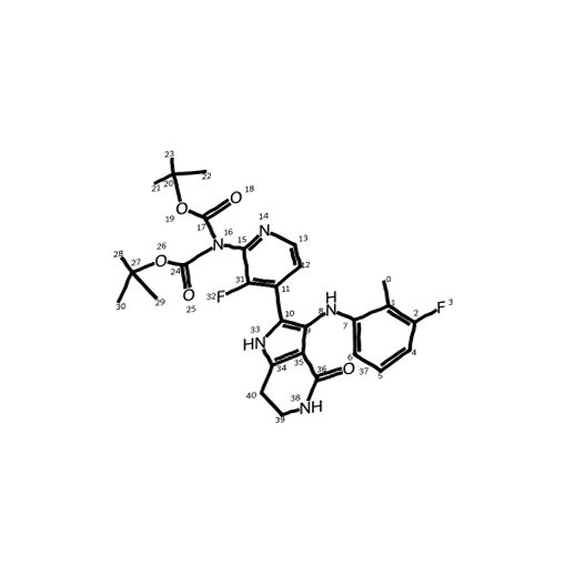 Cc1c(F)cccc1Nc1c(-c2ccnc(N(C(=O)OC(C)(C)C)C(=O)OC(C)(C)C)c2F)[nH]c2c1C(=O)NCC2